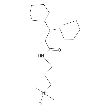 C[N+](C)([O-])CCCNC(=O)CC(C1CCCCC1)C1CCCCC1